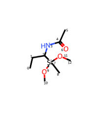 CCC(NC(C)=O)[Si](C)(OC)OC